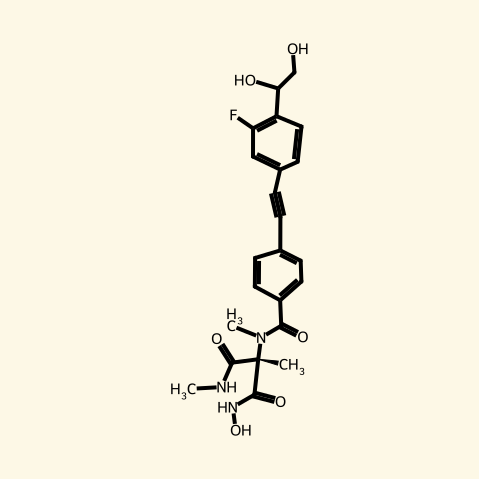 CNC(=O)[C@@](C)(C(=O)NO)N(C)C(=O)c1ccc(C#Cc2ccc(C(O)CO)c(F)c2)cc1